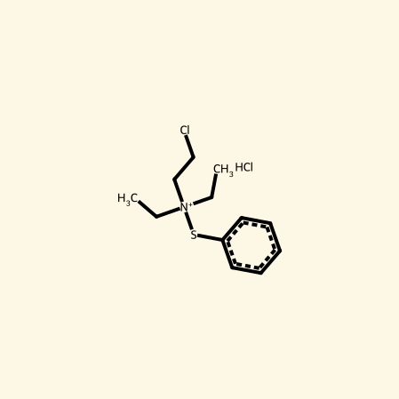 CC[N+](CC)(CCCl)Sc1ccccc1.Cl